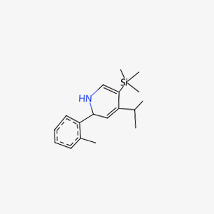 Cc1ccccc1C1C=C(C(C)C)C([Si](C)(C)C)=CN1